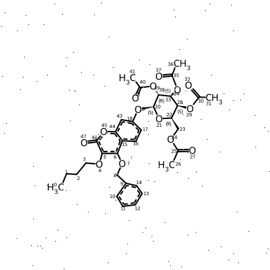 CCCCOc1c(OCc2ccccc2)c2ccc(O[C@@H]3O[C@H](COC(C)=O)[C@H](OC(C)=O)[C@H](OC(C)=O)[C@H]3OC(C)=O)cc2oc1=O